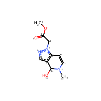 COC(=O)Cn1ncc2c1C=CN(C)C2O